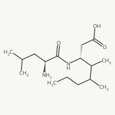 CCCC(C)C(C)[C@@H](CC(=O)O)NC(=O)[C@@H](N)CC(C)C